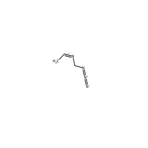 C/C=N\CN=[N+]=[N-]